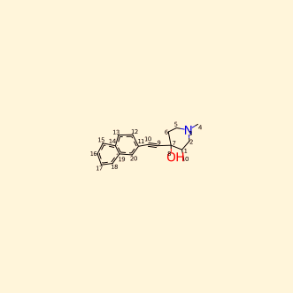 CC1CN(C)CCC1(O)C#Cc1ccc2ccccc2c1